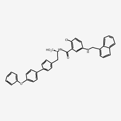 O=C(N[C@@H](Cc1ccc(-c2ccc(Oc3ccccc3)cc2)cc1)C(=O)O)c1cc(NCc2cccc3ccccc23)ccc1Cl